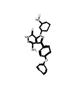 Nc1n[nH]c(=O)c2c1c(-c1ccc(Oc3ccccc3)cc1)nn2C1CCCC(NCl)C1